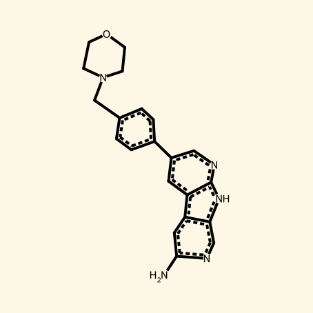 Nc1cc2c(cn1)[nH]c1ncc(-c3ccc(CN4CCOCC4)cc3)cc12